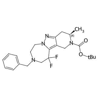 C[C@@H]1Cc2nn3c(c2CN1C(=O)OC(C)(C)C)C(F)(F)CN(Cc1ccccc1)CC3